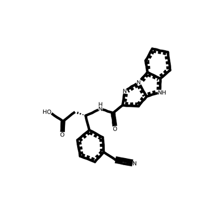 N#Cc1cccc([C@H](CC(=O)O)NC(=O)c2cc3[nH]c4ccccc4n3n2)c1